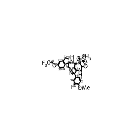 COc1ccc(-c2nn3c(c2NC(=O)CS(C)(=O)=O)C(=O)N[C@@]2(CCc4cc(OCC(F)(F)F)ccc42)C3)cc1F